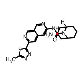 Cc1nnc(-c2cc3cc(NC(=O)N4C5CCC[C@H]4C[C@@H](N)C5)ncc3cn2)s1